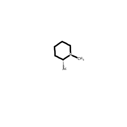 CC(=O)[C@@H]1CCCCN1C